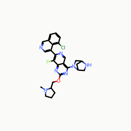 CN1CCCC1COc1nc(N2CC3CC2CN3)c2cnc(-c3cncc4cccc(Cl)c34)c(F)c2n1